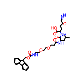 CC(C)CC(NC(=O)CCOCCOCCNC(=O)OCC1c2ccccc2-c2ccccc21)C(=O)NC(CCC(=O)C=[N+]=[N-])C(=O)O